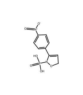 O=[N+]([O-])c1ccc(C2=CCON2P(=O)(O)O)cc1